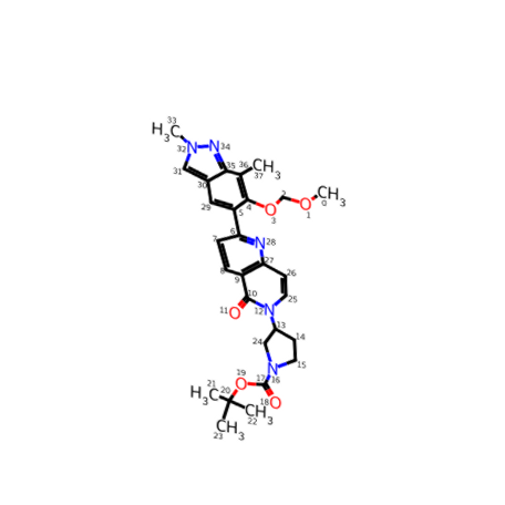 COCOc1c(-c2ccc3c(=O)n(C4CCN(C(=O)OC(C)(C)C)C4)ccc3n2)cc2cn(C)nc2c1C